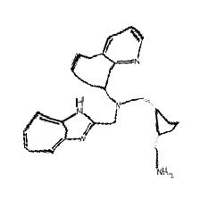 NC[C@H]1C[C@H]1CN(Cc1nc2ccccc2[nH]1)C1CCCc2cccnc21